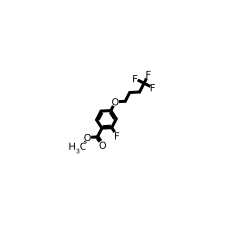 COC(=O)c1ccc(OCCCC(F)(F)F)cc1F